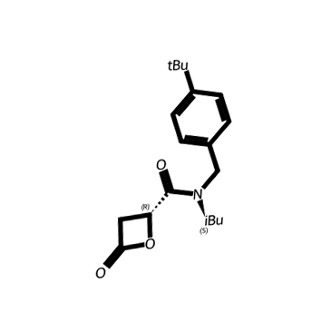 CC[C@H](C)N(Cc1ccc(C(C)(C)C)cc1)C(=O)[C@H]1CC(=O)O1